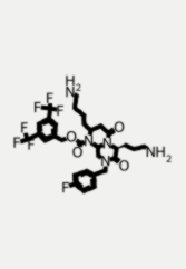 NCCCCC1CC(=O)N2C(CN(Cc3ccc(F)cc3)C(=O)[C@@H]2CCCN)N1C(=O)OCc1cc(C(F)(F)F)cc(C(F)(F)F)c1